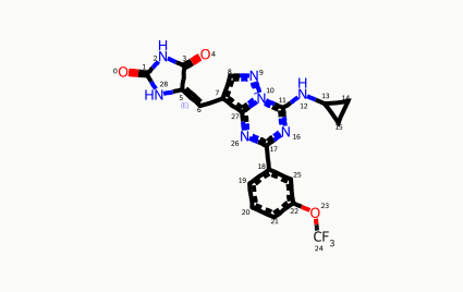 O=C1NC(=O)/C(=C\c2cnn3c(NC4CC4)nc(-c4cccc(OC(F)(F)F)c4)nc23)N1